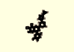 Cc1nc2c(-c3cc(F)c(F)cc3F)nc([C@@H]3CCO[C@H](c4cnn(C5CC5)c4)C3)cn2c(=O)c1Cl